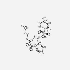 COCCCN1CC(OS(=O)(=O)c2ccc(C)cc2)c2ccsc2S1(=O)=O